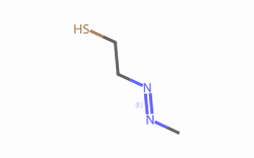 C/N=N/CCS